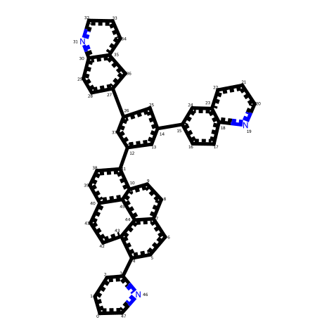 c1ccc(-c2ccc3ccc4c(-c5cc(-c6ccc7ncccc7c6)cc(-c6ccc7ncccc7c6)c5)ccc5ccc2c3c54)nc1